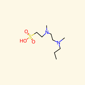 CCCN(C)CCN(C)CCS(=O)(=O)O